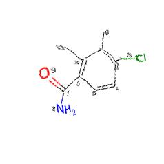 Cc1c(Cl)ccc(C(N)=O)c1C